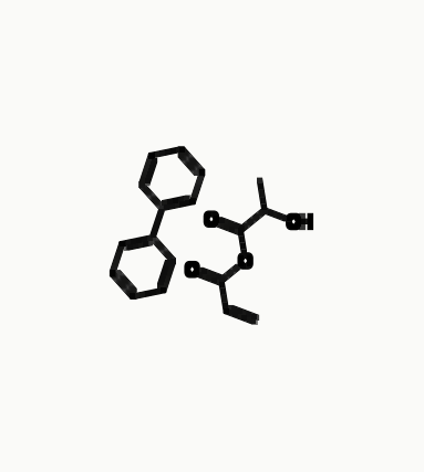 C=CC(=O)OC(=O)C(C)O.c1ccc(-c2ccccc2)cc1